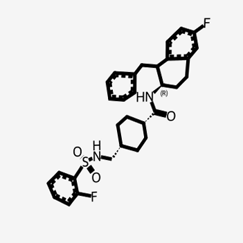 O=C(N[C@@H]1CCc2cc(F)ccc2C1Cc1ccccc1)[C@H]1CC[C@@H](CNS(=O)(=O)c2ccccc2F)CC1